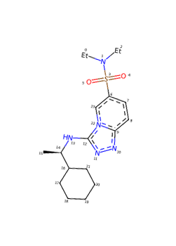 CCN(CC)S(=O)(=O)c1ccc2nnc(N[C@H](C)C3CCCCC3)n2c1